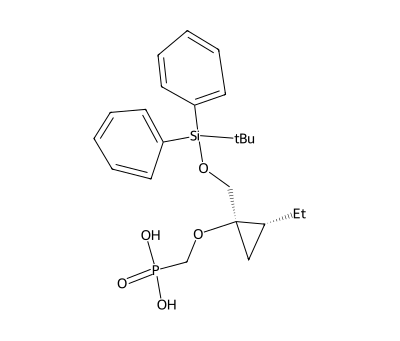 CC[C@@H]1C[C@@]1(CO[Si](c1ccccc1)(c1ccccc1)C(C)(C)C)OCP(=O)(O)O